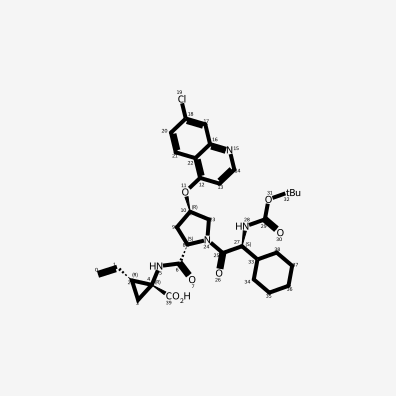 C=C[C@H]1C[C@]1(NC(=O)[C@@H]1C[C@@H](Oc2ccnc3cc(Cl)ccc23)CN1C(=O)[C@@H](NC(=O)OC(C)(C)C)C1CCCCC1)C(=O)O